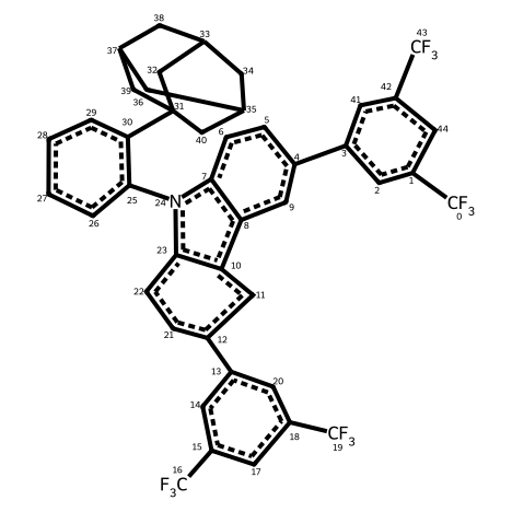 FC(F)(F)c1cc(-c2ccc3c(c2)c2cc(-c4cc(C(F)(F)F)cc(C(F)(F)F)c4)ccc2n3-c2ccccc2C23CC4CC(CC(C4)C2)C3)cc(C(F)(F)F)c1